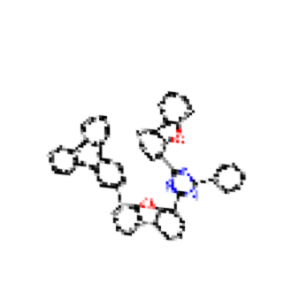 c1ccc(-c2nc(-c3cccc4c3oc3ccccc34)nc(-c3cccc4c3oc3c(-c5ccc6c7ccccc7c7ccccc7c6c5)cccc34)n2)cc1